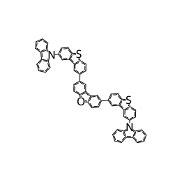 c1ccc2c(c1)c1ccccc1n2-c1ccc2sc3ccc(-c4ccc5oc6ccc(-c7ccc8sc9ccc(-n%10c%11ccccc%11c%11ccccc%11%10)cc9c8c7)cc6c5c4)cc3c2c1